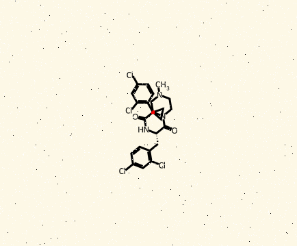 CN1CCN(C(=O)[C@H](Cc2ccc(Cl)cc2Cl)NC(=O)C2(c3ccc(Cl)cc3Cl)CC2)CC1